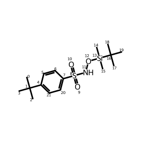 CC(C)(C)c1ccc(S(=O)(=O)NO[Si](C)(C)C(C)(C)C)cc1